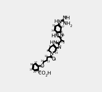 CC(c1nc2c([nH]1)CCN(C(=O)CCCOc1ccccc1C(=O)O)C2)c1nc2cc(NC(=N)N)ccc2[nH]1